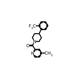 Cc1ccnc(C(=O)N2CCC(c3ccccc3C(F)(F)F)CC2)c1